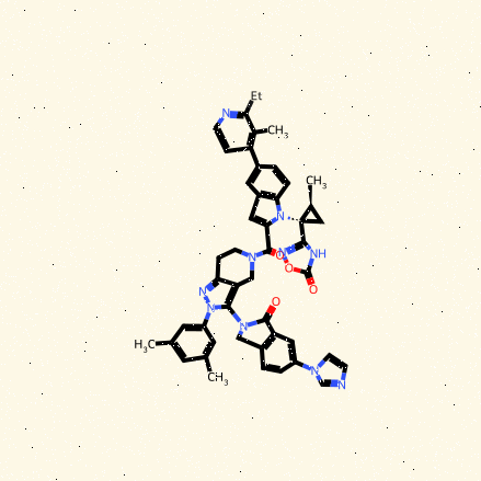 CCc1nccc(-c2ccc3c(c2)cc(C(=O)N2CCc4nn(-c5cc(C)cc(C)c5)c(N5Cc6ccc(-n7ccnc7)cc6C5=O)c4C2)n3[C@@]2(c3noc(=O)[nH]3)C[C@@H]2C)c1C